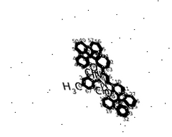 CC1=CC(C)C(C2=NC(C3CC=CC4C3OC3CC=CCC3C4(C3=CC=CCC3)c3ccccc3)=CC(C3=C4OC5=C(CCC=C5)C(C5=CCCC=C5)(C5=CC=CCC5)C4=CCC=C3)N2)C(C)C1